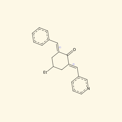 CCC1C/C(=C\c2ccccc2)C(=O)/C(=C/c2cccnc2)C1